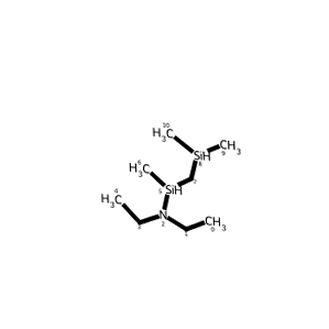 CCN(CC)[SiH](C)C[SiH](C)C